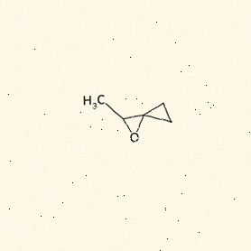 CC1OC12CC2